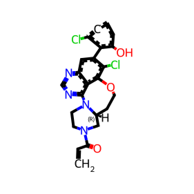 C=CC(=O)N1CCN2c3ncnc4cc(-c5c(O)cccc5Cl)c(Cl)c(c34)OCC[C@@H]2C1